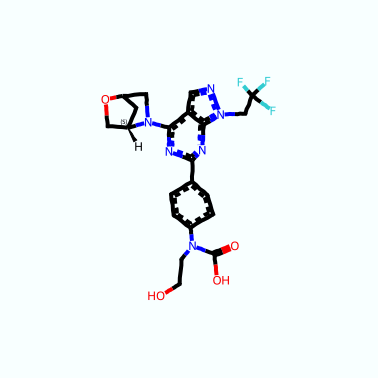 O=C(O)N(CCO)c1ccc(-c2nc(N3CC4C[C@H]3CO4)c3cnn(CC(F)(F)F)c3n2)cc1